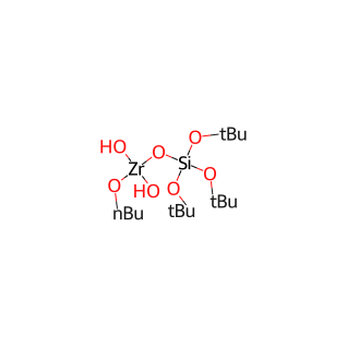 CCCC[O][Zr]([OH])([OH])[O][Si](OC(C)(C)C)(OC(C)(C)C)OC(C)(C)C